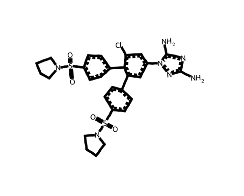 Nc1nc(N)n(-c2cc(Cl)c(-c3ccc(S(=O)(=O)N4CCCC4)cc3)c(-c3ccc(S(=O)(=O)N4CCCC4)cc3)c2)n1